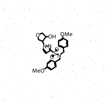 COc1ccc(CN(Cc2ccc(OC)cc2)S(=O)(=O)c2ccn(C3COCC3O)n2)cc1